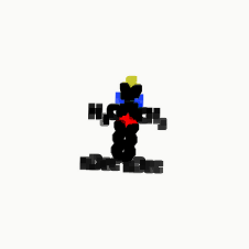 CCCCCCCCCCCCCCCCOC(C)c1nc2cscc2nc1C(C)OCCCCCCCCCCCCCCCC